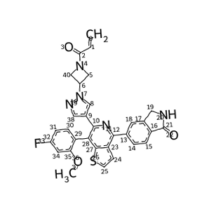 C=CC(=O)N1CC(n2cc(-c3nc(-c4ccc5c(c4)CNC5=O)c4ccsc4c3-c3ccc(F)cc3OC)cn2)C1